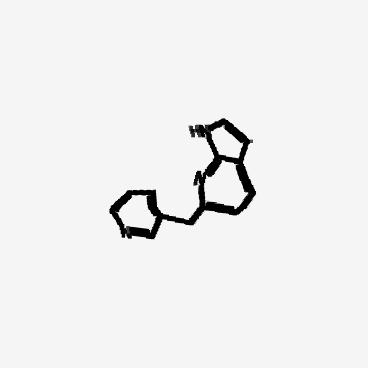 [c]1c[nH]c2nc(Cc3cccnc3)ccc12